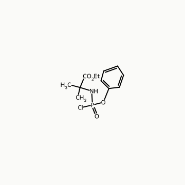 CCOC(=O)C(C)(C)NP(=O)(Cl)Oc1ccccc1